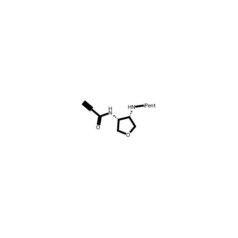 C#CC(=O)N[C@H]1COC[C@H]1NC(C)CCC